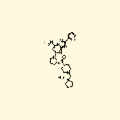 CC1(CN2CCN(C(=O)[C@@H]3CCCN3c3nc(N)n4nc(-c5ccco5)nc4n3)CC2)CCCC1